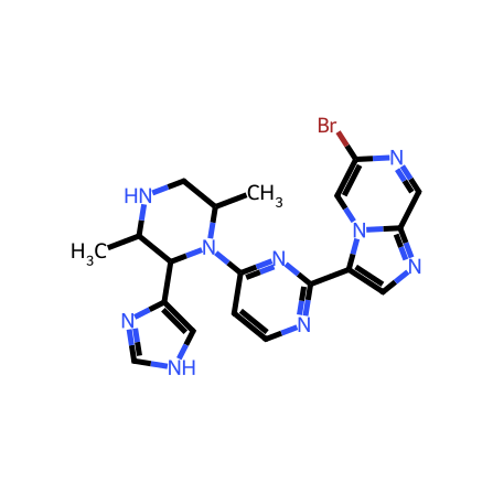 CC1NCC(C)N(c2ccnc(-c3cnc4cnc(Br)cn34)n2)C1c1c[nH]cn1